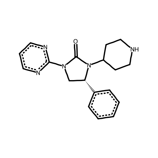 O=C1N(c2ncccn2)C[C@@H](c2ccccc2)N1C1CCNCC1